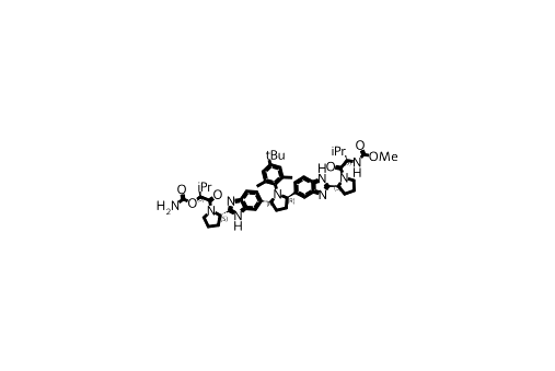 COC(=O)N[C@H](C(=O)N1CCC[C@H]1c1nc2cc([C@H]3CC[C@H](c4ccc5nc([C@@H]6CCCN6C(=O)[C@@H](OC(N)=O)C(C)C)[nH]c5c4)N3c3c(C)cc(C(C)(C)C)cc3C)ccc2[nH]1)C(C)C